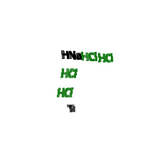 Cl.Cl.Cl.Cl.[NaH].[Ti]